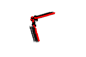 Br.Br.Br.Br.Br.Br.Br.Br.Br.Br.Br.Br.Br.Br.Br.Br.Br.Br.Br.Br.Br.Br.Br.Br.Br.Br.Br.Br.Br.Br.Br.Br.Br.Br.Br.Br.Br.Br.Br.Br.Br.Br.Br.Br.Br.Br.Br.Br.Br.Br.Br.c1ccc2c3c(ccc2c1)NCC3.c1ccc2c3c(ccc2c1)NCC3.c1ccc2c3c(ccc2c1)NCC3